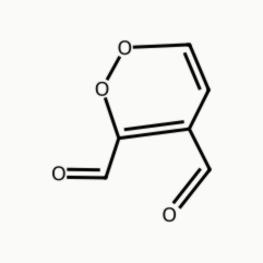 O=CC1=C(C=O)OOC=C1